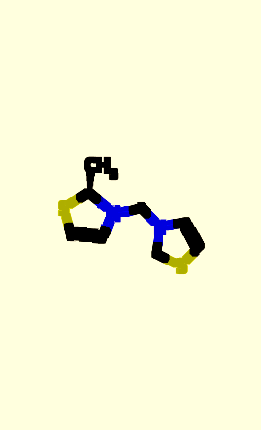 C[C@H]1SC=CN1CN1C=CSC1